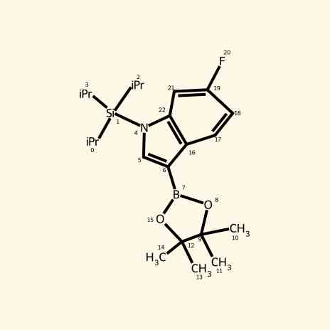 CC(C)[Si](C(C)C)(C(C)C)n1cc(B2OC(C)(C)C(C)(C)O2)c2ccc(F)cc21